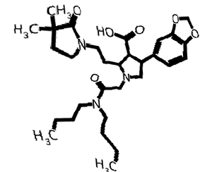 CCCCN(CCCC)C(=O)CN1CC(c2ccc3c(c2)OCO3)C(C(=O)O)C1CCN1CCC(C)(C)C1=O